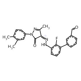 CC1=NN(c2ccc(C)c(C)c2)C(=O)/C1=N\Nc1cccc(-c2cccc(C=O)c2)c1F